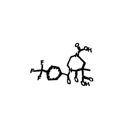 CC1(C(=O)O)CN(C(=O)O)CCN(C(=O)c2ccc(C(F)(F)F)cc2)C1=O